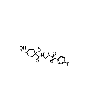 COC1(C(=O)N2CCC(S(=O)(=O)c3ccc(F)cc3)C2)CCC(CO)CC1